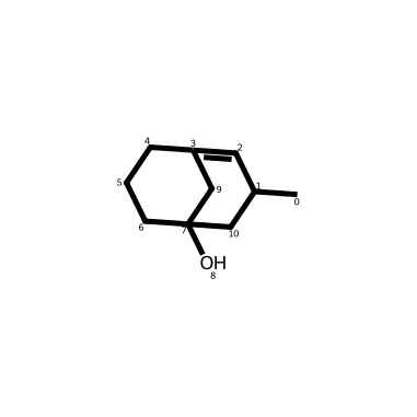 CC1C=C2CCCC(O)(C2)C1